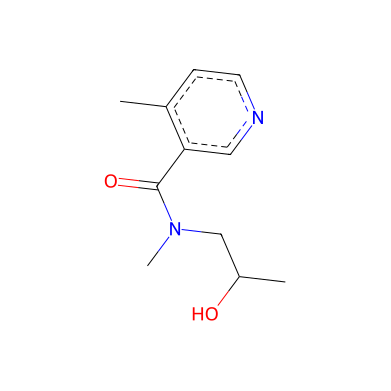 Cc1ccncc1C(=O)N(C)CC(C)O